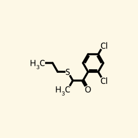 CCCSC(C)C(=O)c1ccc(Cl)cc1Cl